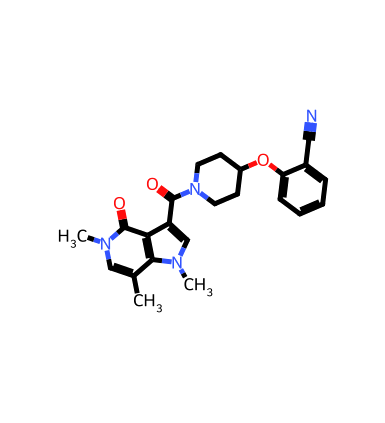 Cc1cn(C)c(=O)c2c(C(=O)N3CCC(Oc4ccccc4C#N)CC3)cn(C)c12